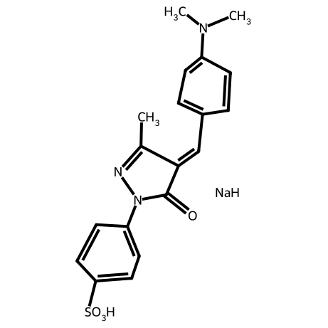 CC1=NN(c2ccc(S(=O)(=O)O)cc2)C(=O)/C1=C/c1ccc(N(C)C)cc1.[NaH]